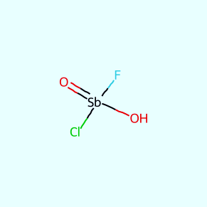 [O]=[Sb]([OH])([F])[Cl]